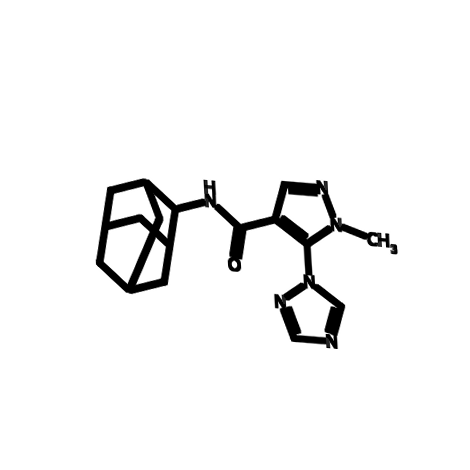 Cn1ncc(C(=O)NC2C3CC4CC(C3)CC2C4)c1-n1cncn1